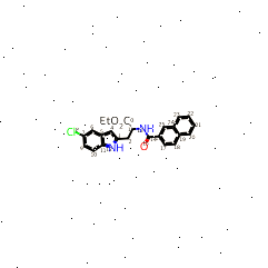 CCOC(=O)[C@@H](Cc1cc2cc(Cl)ccc2[nH]1)NC(=O)c1ccc2ccccc2c1